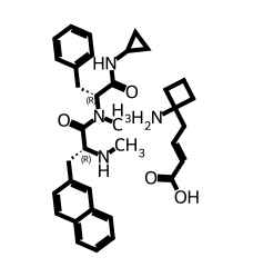 CN[C@H](Cc1ccc2ccccc2c1)C(=O)N(C)[C@H](Cc1ccccc1)C(=O)NC1CC1.NC1(CC=CC(=O)O)CCC1